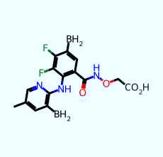 Bc1cc(C)cnc1Nc1c(C(=O)NOCC(=O)O)cc(B)c(F)c1F